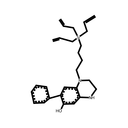 C=CC[Si](CC=C)(CC=C)CCCCN1CCNc2cc(O)c(-c3ccccc3)cc21